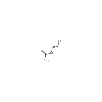 CCC=NNC(N)=O